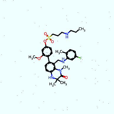 CCCNCCCS(=O)(=O)Oc1ccc(-c2ccc3c(c2CNc2cc(F)ccc2C)N(C)C(=O)C(C)(C)N3)c(OC)c1